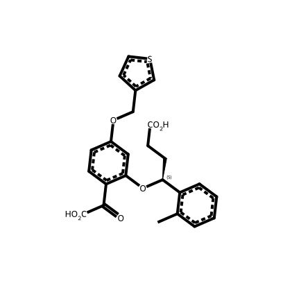 Cc1ccccc1[C@H](CCC(=O)O)Oc1cc(OCc2ccsc2)ccc1C(=O)C(=O)O